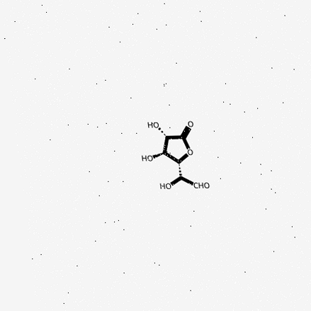 O=CC(O)[C@H]1OC(=O)[C@@H](O)[C@@H]1O